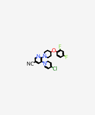 N#Cc1cnc(N2CCC(Oc3ccc(F)cc3F)CC2)c(N2C=CC(Cl)=CC2)c1